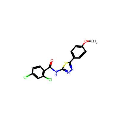 COc1ccc(-c2nnc(NC(=O)c3ccc(Cl)cc3Cl)s2)cc1